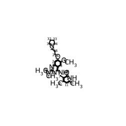 COc1cc2c(NCc3c(C)cc(C)[nH]c3=O)nc(N(C)C)nc2cc1OCCCN1CCCC1